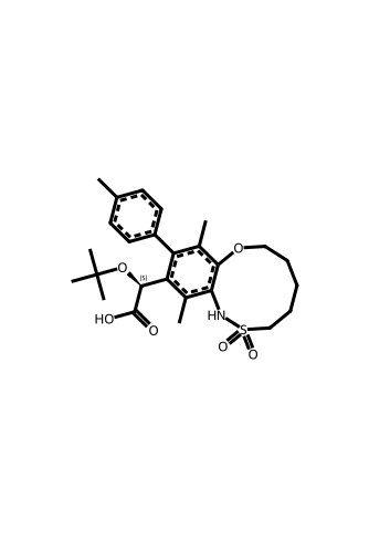 Cc1ccc(-c2c(C)c3c(c(C)c2[C@H](OC(C)(C)C)C(=O)O)NS(=O)(=O)CCCCCO3)cc1